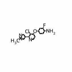 Cn1cc(-c2nccc(Oc3ccc(N)c(F)c3)c2Cl)cn1